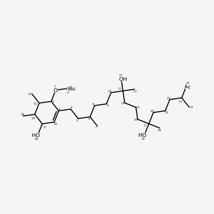 CCCCOC1C(CCC(C)CCCC(C)(O)CCCC(C)(O)CCCC(C)C(C)=O)=CC(O)C(C)C1C